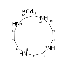 C1CNCCNCCCNCCNC1.[Gd]